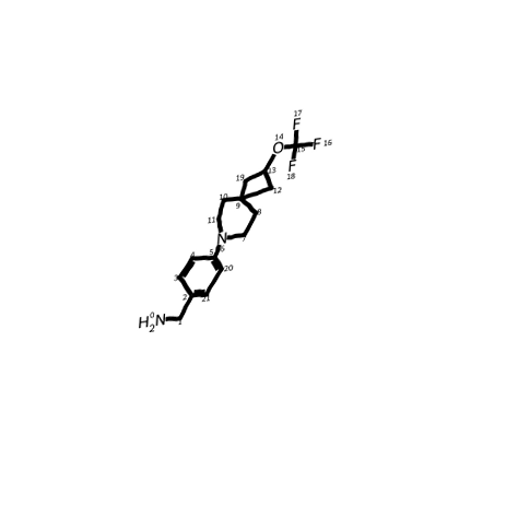 NCc1ccc(N2CCC3(CC2)CC(OC(F)(F)F)C3)cc1